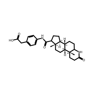 C[C@]12CCC(=O)NC1CC[C@@H]1[C@H]2CC[C@]2(C)C(C(=O)Nc3ccc(CC(=O)O)cc3)CC[C@@H]12